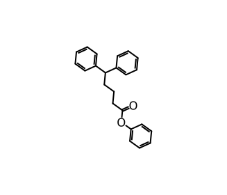 O=C(CCCC(c1ccccc1)c1ccccc1)Oc1ccccc1